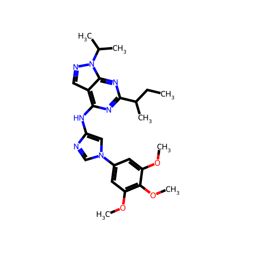 CCC(C)c1nc(Nc2cn(-c3cc(OC)c(OC)c(OC)c3)cn2)c2cnn(C(C)C)c2n1